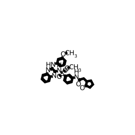 COc1cc(Nc2nc3ccccc3nc2NS(=O)(=O)c2cccc(NC(=O)CC3CCCC3=O)c2)cc(OC)c1